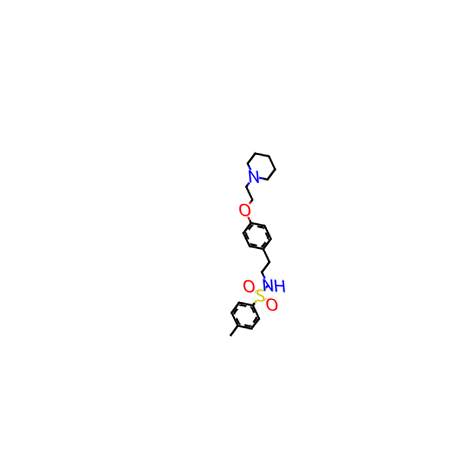 Cc1ccc(S(=O)(=O)NCCc2ccc(OCCN3CCCCC3)cc2)cc1